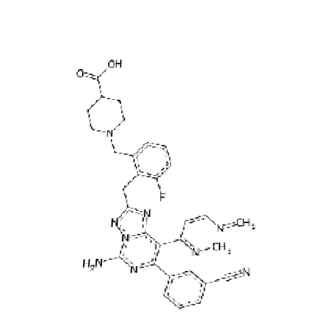 C=N/C=C\C(=N/C)c1c(-c2cccc(C#N)c2)nc(N)n2nc(Cc3c(F)cccc3CN3CCC(C(=O)O)CC3)nc12